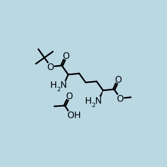 CC(=O)O.COC(=O)[C@@H](N)CCCC(N)C(=O)OC(C)(C)C